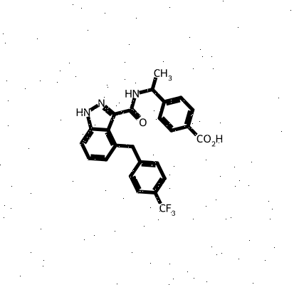 CC(NC(=O)c1n[nH]c2cccc(Cc3ccc(C(F)(F)F)cc3)c12)c1ccc(C(=O)O)cc1